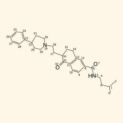 CC(C)CCNC(=O)c1ccc2c(c1)CCC(CCN1CCC(c3ccccc3)CC1)C2=O